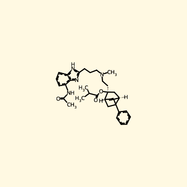 CC(=O)Nc1cccc2[nH]c(CCCN(C)CC[C@]3(OC(=O)C(C)C)C[C@H]4CC[C@@H]3C=C4c3ccccc3)nc12